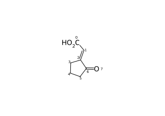 O=C(O)/C=C1\CCCC1=O